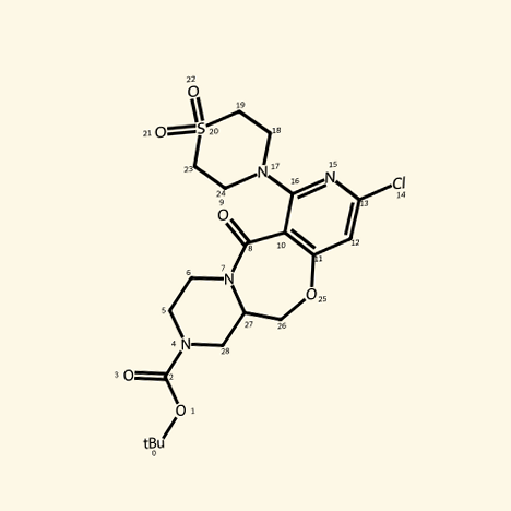 CC(C)(C)OC(=O)N1CCN2C(=O)c3c(cc(Cl)nc3N3CCS(=O)(=O)CC3)OCC2C1